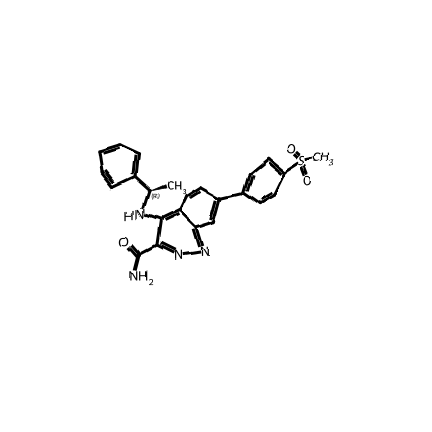 C[C@@H](Nc1c(C(N)=O)nnc2cc(-c3ccc(S(C)(=O)=O)cc3)ccc12)c1ccccc1